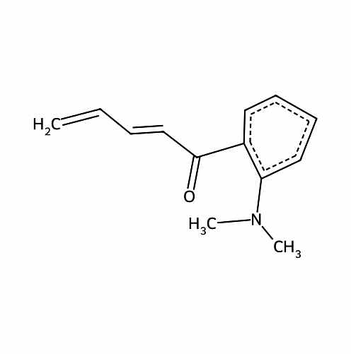 C=CC=CC(=O)c1ccccc1N(C)C